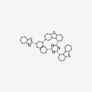 c1ccc(-c2nc(-c3cccc4sc5ccccc5c34)nc(-c3cccc4sc5ccc(-c6cccc(-c7nc8ccccc8s7)c6)cc5c34)n2)cc1